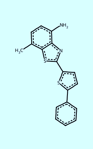 Cc1ccc(N)c2nc(-c3ccc(-c4ccccc4)s3)sc12